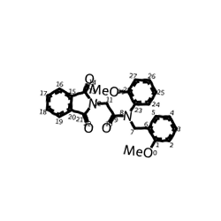 COc1ccccc1CN(C(=O)CN1C(=O)c2ccccc2C1=O)c1ccccc1OC